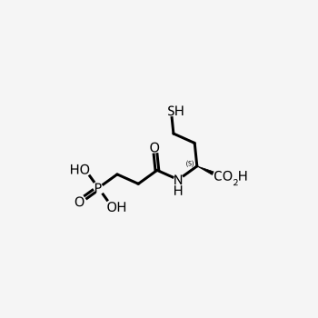 O=C(CCP(=O)(O)O)N[C@@H](CCS)C(=O)O